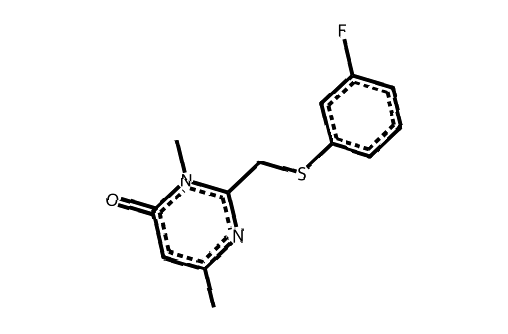 Cc1cc(=O)n(C)c(CSc2cccc(F)c2)n1